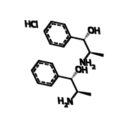 C[C@@H](N)[C@@H](O)c1ccccc1.C[C@@H](N)[C@@H](O)c1ccccc1.Cl